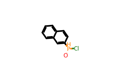 O=[PH](Cl)c1ccc2ccccc2c1